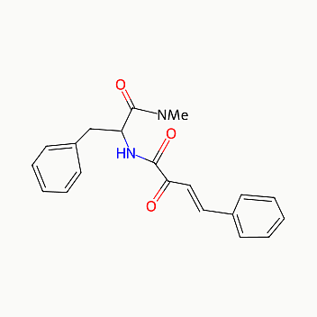 CNC(=O)C(Cc1ccccc1)NC(=O)C(=O)/C=C/c1ccccc1